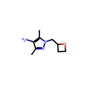 Cc1nn(CC2CCO2)c(C)c1N